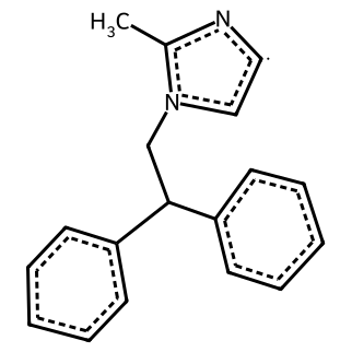 Cc1n[c]cn1CC(c1ccccc1)c1ccccc1